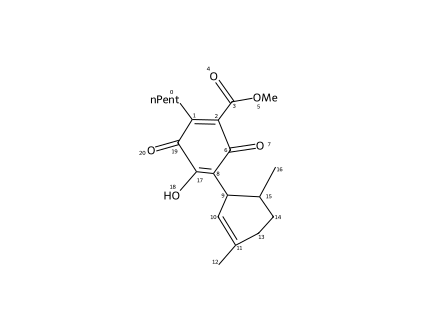 CCCCCC1=C(C(=O)OC)C(=O)C(C2C=C(C)CCC2C)=C(O)C1=O